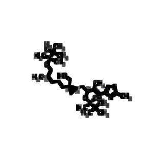 C/C(=C\c1csc(C)n1)[C@H](C[C@@H]1C[C@]1(CO)CCC[C@H](C)CO[Si](C)(C)C(C)(C)C)O[Si](C)(C)C(C)(C)C